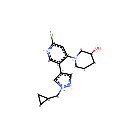 O[C@H]1CCCN(c2cc(Cl)ncc2-c2cnn(CC3CC3)c2)C1